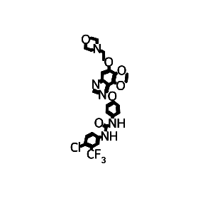 O=C(Nc1ccc(Oc2ncnc3cc(OCCN4CCOCC4)c4c(c23)OCCO4)cc1)Nc1ccc(Cl)c(C(F)(F)F)c1